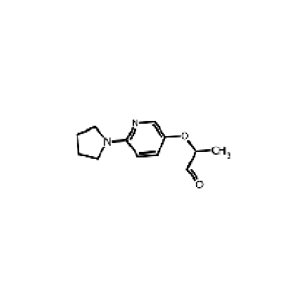 CC(C=O)Oc1ccc(N2CCCC2)nc1